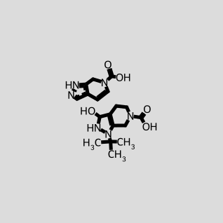 CC(C)(C)N1NC(O)C2=C1CN(C(=O)O)CC2.O=C(O)N1C=Cc2cn[nH]c2C1